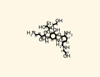 CC[C@@H](O)[C@H](OCCO)O[C@@H]1[C@@H](O)[C@H](O[C@H]2OC(CNCCO)=CC[C@H]2N)[C@@H](N)C[C@H]1NC(=O)[C@H](O)CCN